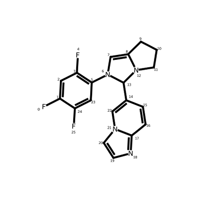 Fc1cc(F)c(N2C=C3CCCN3C2c2ccc3nccn3c2)cc1F